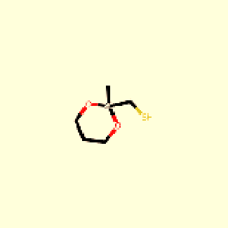 C[Si]1(CS)OCCCO1